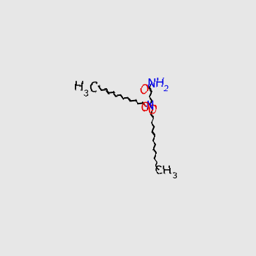 CCCCCCCCCCCCCCON(CCCC(N)=O)OCCCCCCCCCCCCCC